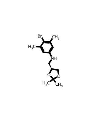 Cc1cc(NC[C@H]2COC(C)(C)O2)cc(C)c1Br